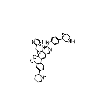 CN1CCCCC1c1ccc(-c2cc3cnc(Nc4ccc(C5CNCCS5)cc4)nc3n(Cc3nccs3)c2=O)c(Cl)c1